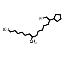 CC(C)CC(CCCCCC(C)CCCCCCC(C)(C)C)C1CCCC1